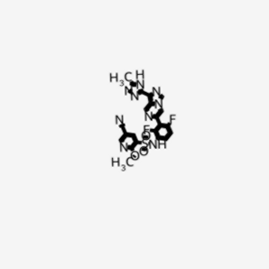 COc1ncc(C#N)cc1S(=O)(=O)Nc1ccc(F)c(-c2cn3cnc(-c4nnc(C)[nH]4)c3cn2)c1F